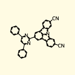 N#Cc1ccc2c3cc(-c4nc(-c5ccccc5)cc(-c5ccccc5)n4)cc4c5ccc(C#N)cc5n(c2c1)c34